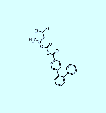 CCC(CC)C[C@@H](C)OC(=O)OC(=O)c1ccc(-c2ccccc2-c2ccccc2)cc1